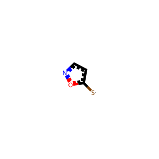 [S]c1ccno1